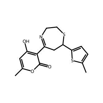 Cc1cc(O)c(C2=NCCSC(c3ccc(C)s3)C2)c(=O)o1